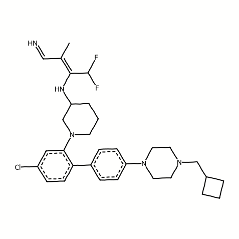 C/C(C=N)=C(/NC1CCCN(c2cc(Cl)ccc2-c2ccc(N3CCN(CC4CCC4)CC3)cc2)C1)C(F)F